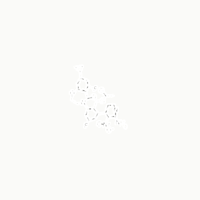 CC(=O)OCc1c(-c2ccnc(N)c2[N+](=O)[O-])cc(F)cc1N1CCOc2cc(C3CC3)cc(F)c2C1=O